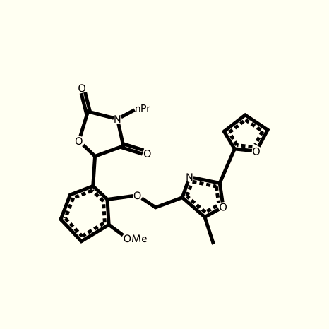 CCCN1C(=O)OC(c2cccc(OC)c2OCc2nc(-c3ccco3)oc2C)C1=O